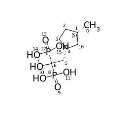 C[C@H]1CC[C@@H](CC(O)(P(=O)(O)O)P(=O)(O)O)C1